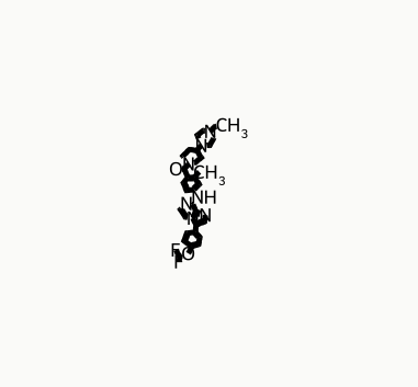 CCN1CCN(C2CCN(C(=O)c3ccc(Nc4nccn5c(-c6ccc(OC(F)F)cc6)cnc45)cc3C)CC2)CC1